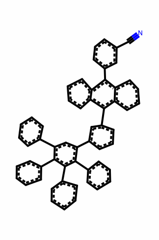 N#Cc1cccc(-c2c3ccccc3c(-c3cccc(-c4cc(-c5ccccc5)c(-c5ccccc5)c(-c5ccccc5)c4-c4ccccc4)c3)c3ccccc23)c1